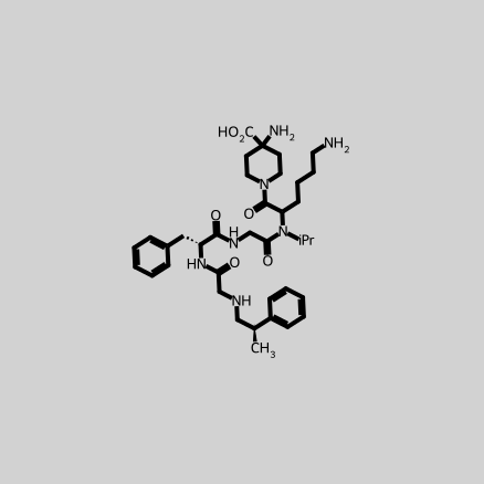 CC(C)N(C(=O)CNC(=O)[C@@H](Cc1ccccc1)NC(=O)CNC[C@H](C)c1ccccc1)C(CCCCN)C(=O)N1CCC(N)(C(=O)O)CC1